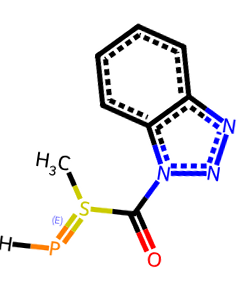 [2H]/P=S(\C)C(=O)n1nnc2ccccc21